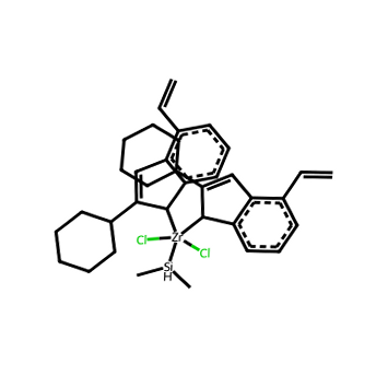 C=Cc1cccc2c1C=C(C1CCCCC1)[CH]2[Zr]([Cl])([Cl])([CH]1C(C2CCCCC2)=Cc2c(C=C)cccc21)[SiH](C)C